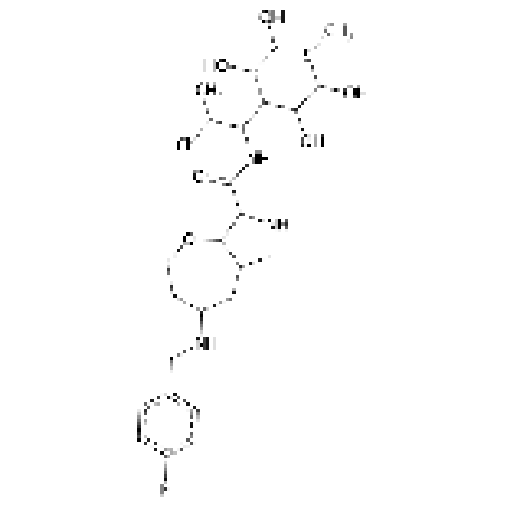 CSC(O)C(O)C(C(O)CO)C(NC(=O)C1NCC2CC(NCc3ccc(F)cc3)CCOC21)C(C)Cl